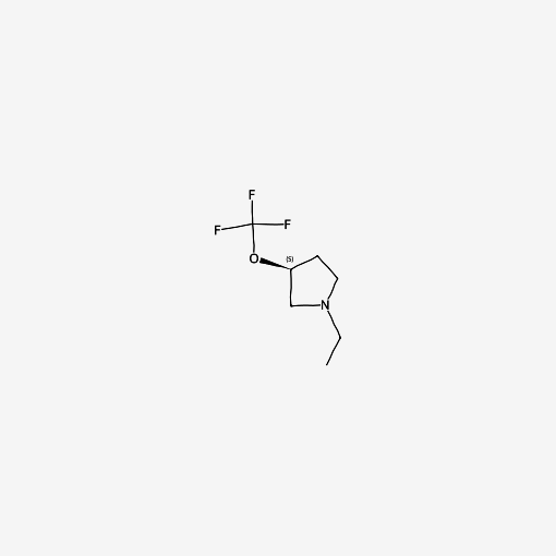 CCN1CC[C@H](OC(F)(F)F)C1